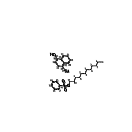 CCCCCCCCCCCCOS(=O)(=O)c1ccccc1.Oc1ccc(S)c2ccccc12